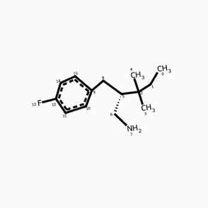 CCC(C)(C)[C@H](CN)Cc1ccc(F)cc1